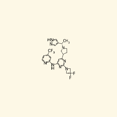 CC(c1cn[nH]c1)N1CCC(c2cc(Nc3cc(C(F)(F)F)ccn3)nc(N3CC(F)(F)C3)n2)C1